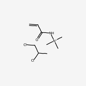 C=CC(=O)N[N+](C)(C)C.CC(Cl)CCl